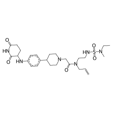 C=CCN(CCNS(=O)(=O)N(C)CC)C(=O)CN1CCC(c2ccc(NC3CCC(=O)NC3=O)cc2)CC1